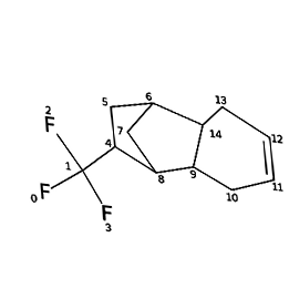 FC(F)(F)C1CC2CC1C1CC=CCC21